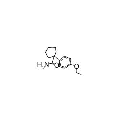 CCOc1ccc(C2(C(N)=O)CCCCC2)cc1